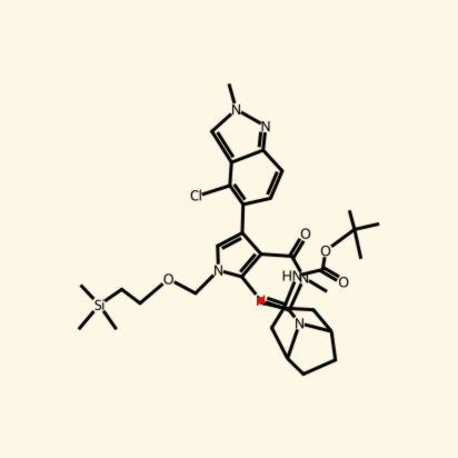 Cn1cc2c(Cl)c(-c3cn(COCC[Si](C)(C)C)c4nc(N5C6CCC5CC(C)(NC(=O)OC(C)(C)C)C6)n(C)c(=O)c34)ccc2n1